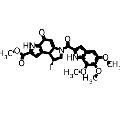 COC(=O)c1cc2c([nH]1)C(=O)C=C1C2[C@H](I)CN1C(=O)c1cc2cc(OC)c(OC)c(OC)c2[nH]1